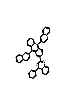 c1ccc(-c2nc(-c3ccc4c(-c5ccc6ccccc6c5)c5ccccc5c(-c5ccc6ccccc6c5)c4c3)nc3ccccc23)cc1